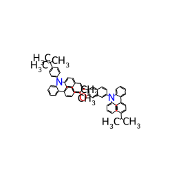 CC(C)c1ccc(-c2ccccc2N(c2ccccc2)c2ccc3cc4c(cc3c2)oc2cc3cc(N(c5ccc(C(C)(C)C)cc5)c5ccccc5-c5ccc(C(C)C)cc5)ccc3cc24)cc1